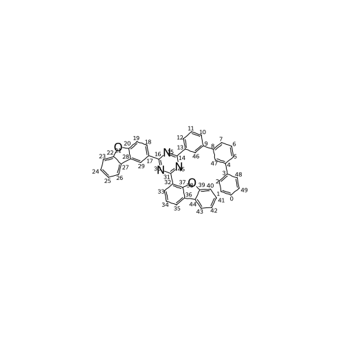 c1ccc(-c2cccc(-c3cccc(-c4nc(-c5ccc6oc7ccccc7c6c5)nc(-c5cccc6c5oc5ccccc56)n4)c3)c2)cc1